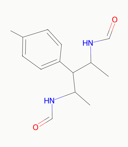 Cc1ccc(C(C(C)NC=O)C(C)NC=O)cc1